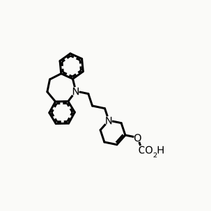 O=C(O)OC1=CCCN(CCCN2c3ccccc3CCc3ccccc32)C1